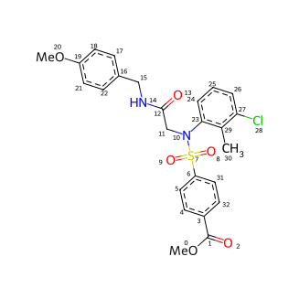 COC(=O)c1ccc(S(=O)(=O)N(CC(=O)NCc2ccc(OC)cc2)c2cccc(Cl)c2C)cc1